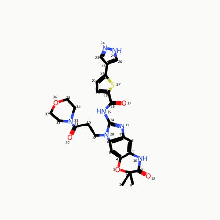 CC1(C)Oc2cc3c(cc2NC1=O)nc(NC(=O)c1ccc(-c2cn[nH]c2)s1)n3CCC(=O)N1CCOCC1